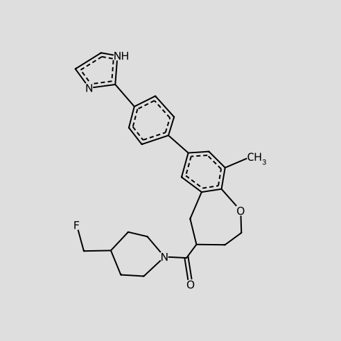 Cc1cc(-c2ccc(-c3ncc[nH]3)cc2)cc2c1OCCC(C(=O)N1CCC(CF)CC1)C2